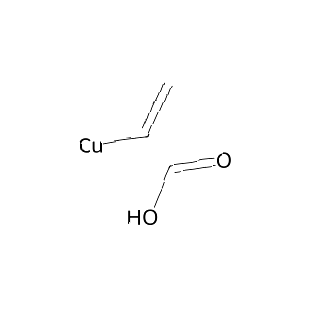 C=[CH][Cu].O=CO